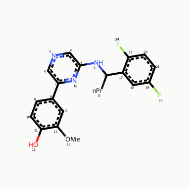 CCCC(Nc1cncc(-c2ccc(O)c(OC)c2)n1)c1cc(F)ccc1F